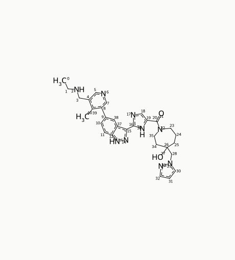 CCNCc1cncc(-c2ccc3[nH]nc(-c4ncc(C(=O)N5CCCC(O)(Cn6cccn6)CC5)[nH]4)c3c2)c1C